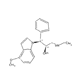 CNC[C@@H](O)[C@H](c1ccccc1)n1ccc2c(OC)cccc21